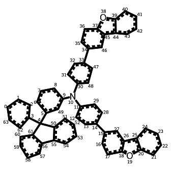 c1ccc(C2(c3cccc(N(c4ccc(-c5ccc6oc7ccccc7c6c5)cc4)c4ccc(-c5ccc6oc7ccccc7c6c5)cc4)c3)c3ccccc3-c3ccccc32)cc1